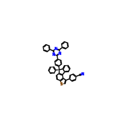 N#Cc1ccc(-c2csc3ccc4c(c23)-c2ccccc2C4(c2ccccc2)c2ccc(-c3nc(-c4ccccc4)nc(-c4ccccc4)n3)cc2)cc1